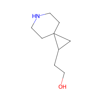 OCCC1CC12CCNCC2